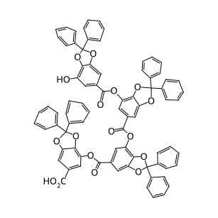 O=C(O)c1cc(OC(=O)c2cc(OC(=O)c3cc(OC(=O)c4cc(O)c5c(c4)OC(c4ccccc4)(c4ccccc4)O5)c4c(c3)OC(c3ccccc3)(c3ccccc3)O4)c3c(c2)OC(c2ccccc2)(c2ccccc2)O3)c2c(c1)OC(c1ccccc1)(c1ccccc1)O2